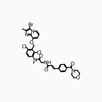 Cc1nc2c(OCc3c(Cl)ccc(N(C)C(=O)CNC(=O)/C=C/c4ccc(C(=O)N5CCOCC5)cc4)c3Cl)cccn2c1Br